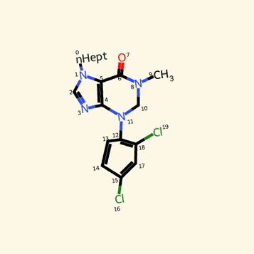 CCCCCCCn1cnc2c1C(=O)N(C)CN2c1ccc(Cl)cc1Cl